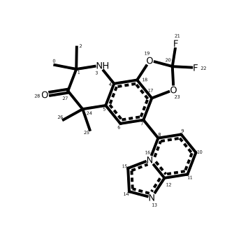 CC1(C)Nc2c(cc(-c3cccc4nccn34)c3c2OC(F)(F)O3)C(C)(C)C1=O